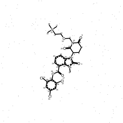 Cn1c(=O)n(C2CCC(=O)N(COCC[Si](C)(C)C)C2=O)c2cccc(C(=O)Oc3c(Cl)cc(Cl)cc3Cl)c21